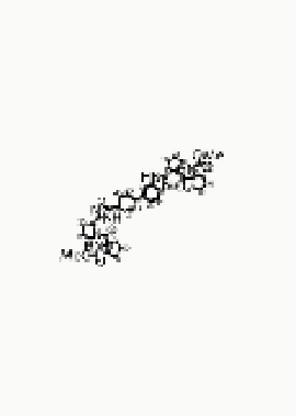 COC(=O)NC1(C(=O)N2CCC[C@H]2c2ncc(-c3ccc(-c4ccc5nc([C@@H]6CCCN6C(=O)C6(NC(=O)OC)CCCC6)[nH]c5c4)cc3)[nH]2)CCCC1